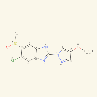 CC[S+]([O-])c1cc2[nH]c(-n3cc(OC(=O)O)cn3)nc2cc1Cl